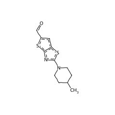 CC1CCN(c2nc3sc(C=O)cc3s2)CC1